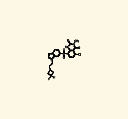 O=c1[nH]c2c(S(=O)(=O)c3ccc4ccn(CCC5CC(F)(F)C5)c4c3)ccc(Cl)c2c(=O)n1O